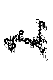 Cc1cccc(-c2nc(CN(C(=O)OCc3ccc(NC(=O)[C@H](CCCNC(N)=O)NC(=O)C(NC(=O)CCCCCN4C(=O)C=CC4=O)C(C)C)cc3)C3CCCC3)[nH]c2-c2ccc3ncnn3c2)n1